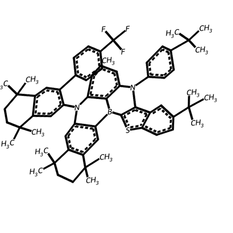 Cc1cc2c3c(c1)N(c1ccc(C(C)(C)C)cc1)c1c(sc4ccc(C(C)(C)C)cc14)B3c1cc3c(cc1N2c1cc2c(cc1-c1ccc(C(F)(F)F)cc1)C(C)(C)CCC2(C)C)C(C)(C)CCC3(C)C